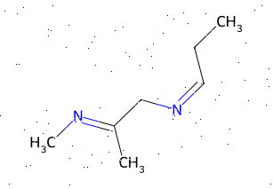 CC/C=N\C/C(C)=N/C